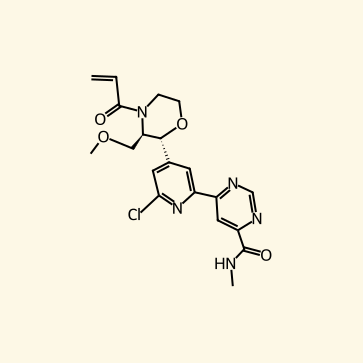 C=CC(=O)N1CCO[C@H](c2cc(Cl)nc(-c3cc(C(=O)NC)ncn3)c2)[C@H]1COC